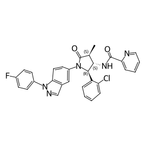 C[C@@H]1C(=O)N(c2ccc3c(cnn3-c3ccc(F)cc3)c2)[C@H](c2ccccc2Cl)[C@H]1NC(=O)c1ccccn1